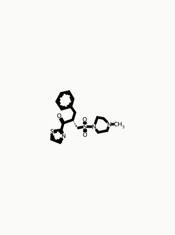 CN1CCN(S(=O)(=O)C[C@@H](Cc2ccccc2)C(=O)c2n[c]cs2)CC1